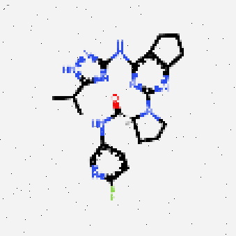 CC(C)c1nc(Nc2nc(N3CCC[C@@H]3C(=O)Nc3ccc(F)nc3)nc3c2CCC3)n[nH]1